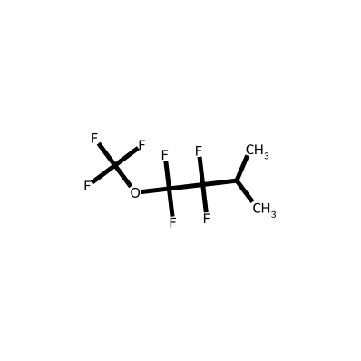 CC(C)C(F)(F)C(F)(F)OC(F)(F)F